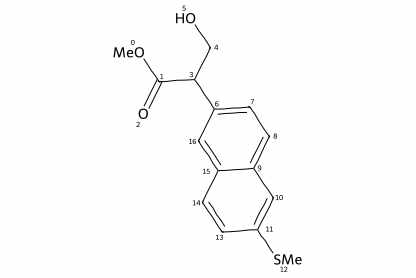 COC(=O)C(CO)c1ccc2cc(SC)ccc2c1